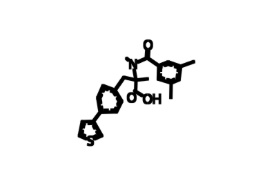 Cc1cc(C)cc(C(=O)N(C)C(C)(Cc2ccc(-c3ccsc3)cc2)C(=O)O)c1